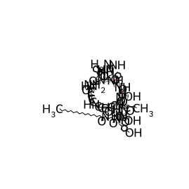 CCCCCCCCCCCCCCCC(=O)NCCC(=O)N[C@@H](Cc1ccc(O)cc1)C(=O)N[C@@H](CO)C(=O)N[C@@H](CCCC)C(=O)N[C@H]1CCC(=O)CCCNCCCC[C@@H](C(N)=O)NC(=O)[C@H](Cc2c[nH]c3ccccc23)NC(=O)[C@H](CCCNC(=N)N)NC(=O)[C@@H](Cc2ccccc2)NC(=O)[C@@H]2C[C@@H](O)CN2C1=O